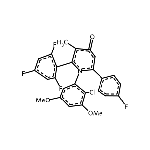 COc1cc(OC)c(Cl)c(-n2c(-c3ccc(F)cc3)cc(=O)c(C)c2-c2c(F)cc(F)cc2F)c1